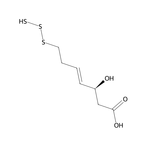 O=C(O)C[C@H](O)/C=C/CCSSS